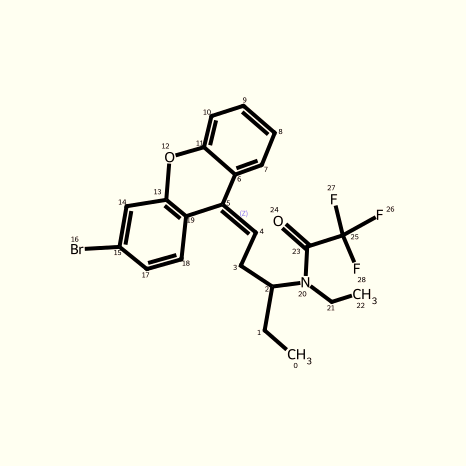 CCC(C/C=C1/c2ccccc2Oc2cc(Br)ccc21)N(CC)C(=O)C(F)(F)F